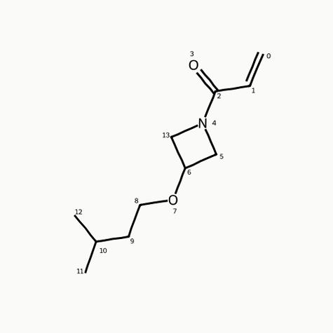 C=CC(=O)N1CC(OCCC(C)C)C1